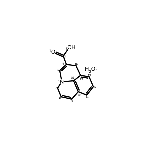 O.O=C(O)C1=CN2CC=Cc3cccc(c32)C1